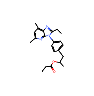 CCC(=O)OC(C)Cc1ccc(-n2c(CC)nc3c(C)cc(C)nc32)cc1